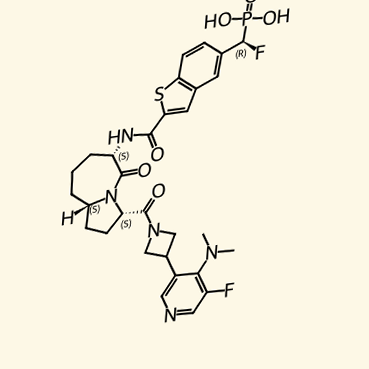 CN(C)c1c(F)cncc1C1CN(C(=O)[C@@H]2CC[C@@H]3CCC[C@H](NC(=O)c4cc5cc([C@H](F)P(=O)(O)O)ccc5s4)C(=O)N32)C1